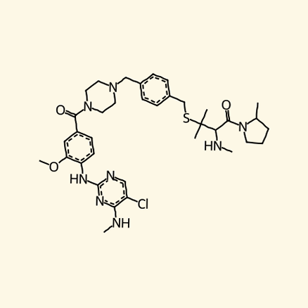 CNc1nc(Nc2ccc(C(=O)N3CCN(Cc4ccc(CSC(C)(C)C(NC)C(=O)N5CCCC5C)cc4)CC3)cc2OC)ncc1Cl